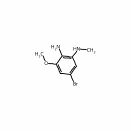 CNc1cc(Br)cc(OC)c1N